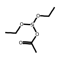 CCO[Si](OCC)OC(C)=O